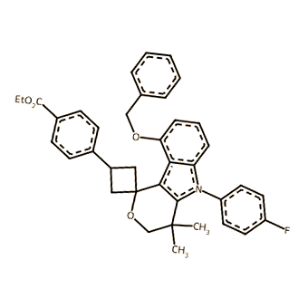 CCOC(=O)c1ccc(C2CC3(C2)OCC(C)(C)c2c3c3c(OCc4ccccc4)cccc3n2-c2ccc(F)cc2)cc1